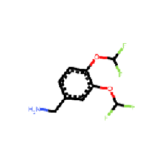 NCc1ccc(OC(F)F)c(OC(F)F)c1